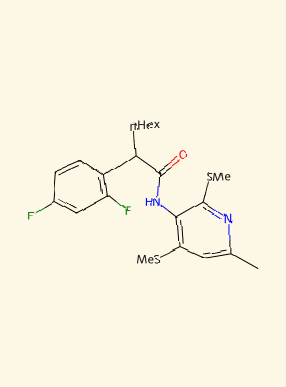 CCCCCCC(C(=O)Nc1c(SC)cc(C)nc1SC)c1ccc(F)cc1F